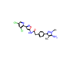 CC(C)n1nc(-c2ccc(CC(=O)Nc3cc(-c4ncc(Cl)cc4Cl)no3)cc2)c(C#N)c1N